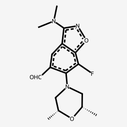 C[C@@H]1CN(c2c(C=O)cc3c(N(C)C)noc3c2F)C[C@H](C)O1